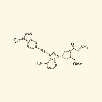 C=CC(=O)N1C[C@@H](n2nc(C#Cc3ccc4c(c3)ncn4C3CC3)c3c(N)nccc32)C[C@@H]1COC